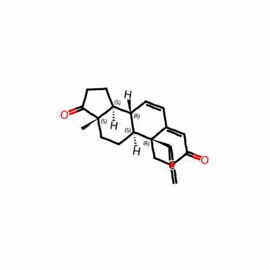 C=C=C[C@]12CCC(=O)C=C1C=C[C@@H]1[C@@H]2CC[C@]2(C)C(=O)CC[C@@H]12